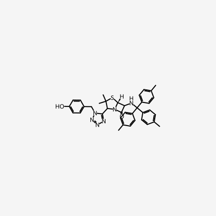 Cc1ccc(C(NC2C(=O)N3C(c4nnnn4Cc4ccc(O)cc4)C(C)(C)S[C@H]23)(c2ccc(C)cc2)c2ccc(C)cc2)cc1